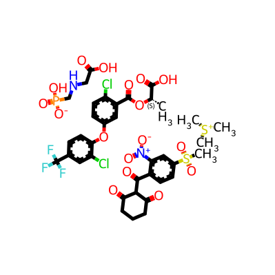 CS(=O)(=O)c1ccc(C(=O)C2C(=O)CCCC2=O)c([N+](=O)[O-])c1.C[C@H](OC(=O)c1cc(Oc2ccc(C(F)(F)F)cc2Cl)ccc1Cl)C(=O)O.C[S+](C)C.O=C(O)CNCP(=O)([O-])O